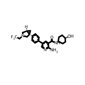 Nc1ncc(-c2ccc([C@@]34C[C@@H]3CN(CC(F)(F)F)C4)cc2)cc1C(=O)N[C@H]1CC[C@H](O)CC1